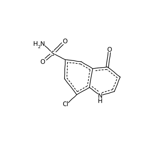 NS(=O)(=O)c1cc(Cl)c2[nH]ccc(=O)c2c1